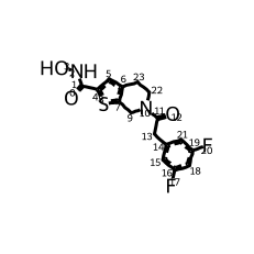 O=C(NO)c1cc2c(s1)CN(C(=O)Cc1cc(F)cc(F)c1)CC2